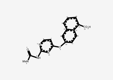 CNC(=O)Nc1nccc(Oc2ccc3c(C(=O)O)cccc3c2)n1